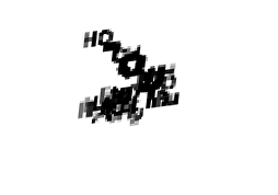 C=C.C=C.CCCCC1C(=O)NN(c2ccccc2)C1=O.CCOCC.OCCO